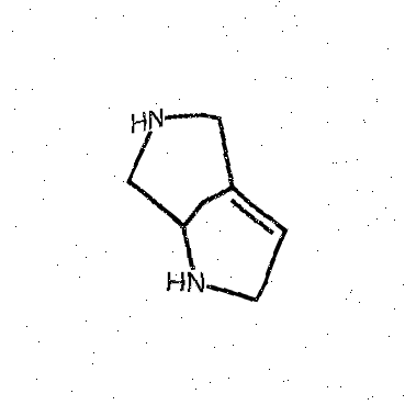 C1=C2CNCC2NC1